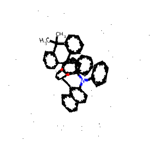 CC1(C)c2ccccc2C2(C3=CC=CC(c4c(N(c5ccccc5)c5ccccc5)ccc5ccccc45)C3c3ccccc32)c2ccccc21